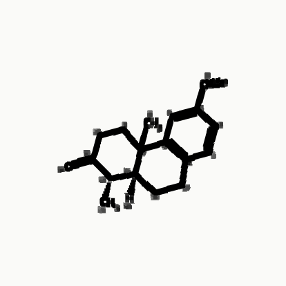 COc1ccc2c(c1)C1(C)CCC(=O)[C@@H](C)[C@@H]1CC2